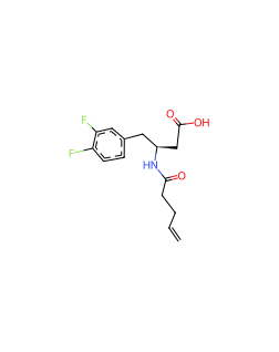 C=CCCC(=O)N[C@H](CC(=O)O)Cc1ccc(F)c(F)c1